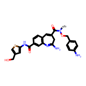 CCCN(OCc1ccc(N)cc1)C(=O)C1=Cc2ccc(C(=O)Nc3cc(CO)cs3)cc2N=C(N)C1